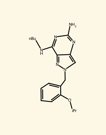 CCCCNc1nc(N)nc2cn(Cc3ccccc3OC(C)C)nc12